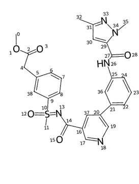 COC(=O)Cc1cccc(S(C)(=O)=NC(=O)c2cncc(-c3cccc(NC(=O)c4cc(C)nn4C)c3)c2)c1